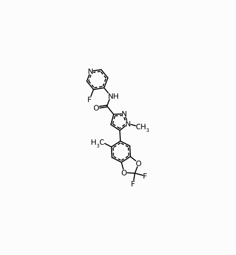 Cc1cc2c(cc1-c1cc(C(=O)Nc3ccncc3F)nn1C)OC(F)(F)O2